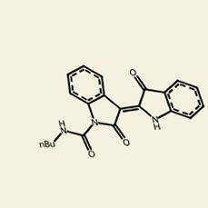 CCCCNC(=O)N1C(=O)/C(=C2\Nc3ccccc3C2=O)c2ccccc21